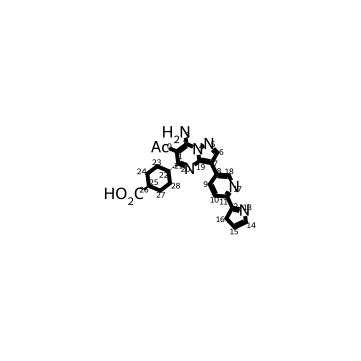 CC(=O)c1c(N)n2ncc(-c3ccc(C4=NC=CC4)nc3)c2nc1[C@H]1CC[C@H](C(=O)O)CC1